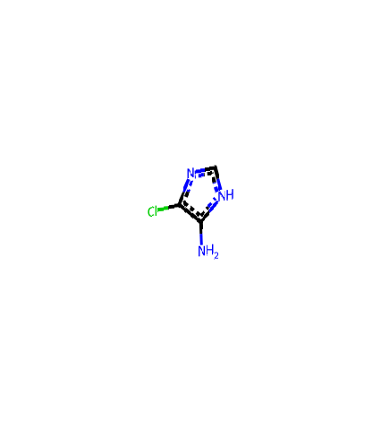 Nc1[nH]cnc1Cl